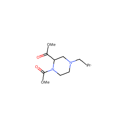 COC(=O)C1CN(C[C](C)C)CCN1C(=O)OC